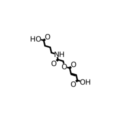 O=C(O)C=CC(=O)OCC(=O)NCCCC(=O)O